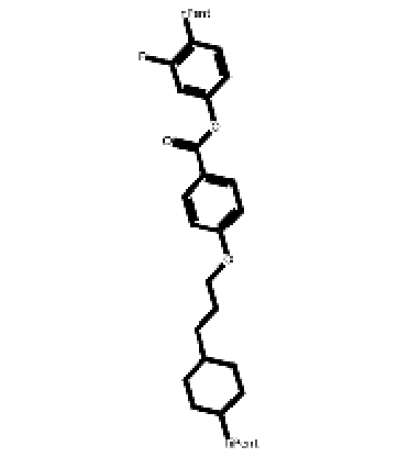 CCCCCc1ccc(OC(=O)c2ccc(OCCCC3CCC(CCCCC)CC3)cc2)cc1F